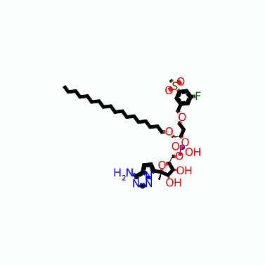 CCCCCCCCCCCCCCCCCCOC[C@H](CCOCc1cc(F)cc(S(C)(=O)=O)c1)OP(=O)(O)OC[C@H]1O[C@@](C)(c2ccc3c(N)ncnn23)[C@H](O)[C@@H]1O